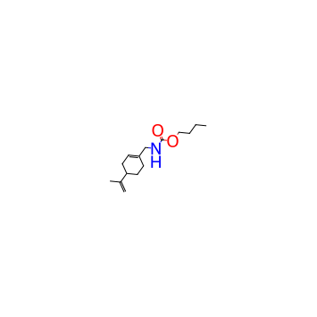 C=C(C)C1CC=C(CNC(=O)OCCCC)CC1